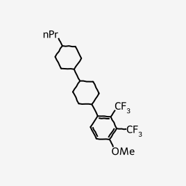 CCCC1CCC(C2CCC(c3ccc(OC)c(C(F)(F)F)c3C(F)(F)F)CC2)CC1